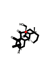 C=C1C(=O)C23CC[C@H]1CC2[C@@]12CCC[C@@](C)(COC1=O)C2[C@H](CO)C3=O